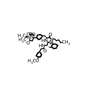 CCCCCNC(=O)[C@H](Cc1ccc(C2CC(=O)N(C(C)(C)C)S2(=O)=O)cc1)NC(=O)[C@H](Cc1ccccc1)NC(=O)Cc1ccc(OC)cc1